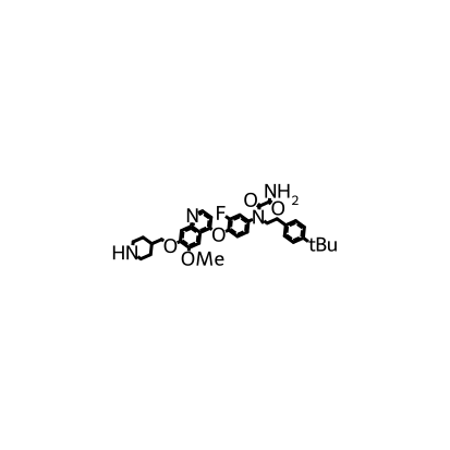 COc1cc2c(Oc3ccc(N(CCc4ccc(C(C)(C)C)cc4)C(=O)C(N)=O)cc3F)ccnc2cc1OCC1CCNCC1